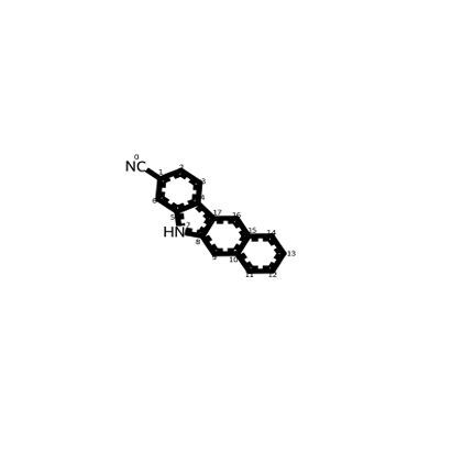 N#Cc1ccc2c(c1)[nH]c1cc3ccccc3cc12